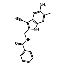 C#Cc1c(CNC(=O)c2ccccc2)[nH]c2cc(C)c(N)nc12